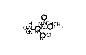 CN(c1ccccc1)c1nc2cc(-c3noc(=O)[nH]3)nc(-c3cncc(Cl)c3)c2n1C[C@H]1CC[C@H](C)CC1